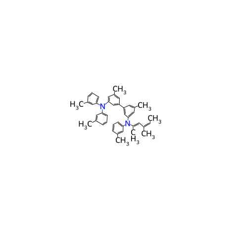 C/C=C(C)\C=C(/C)N(c1cccc(C)c1)c1cc(C)cc(-c2cc(C)cc(N(c3cccc(C)c3)c3cccc(C)c3)c2)c1